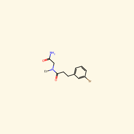 CCN(CC(N)=O)C(=O)C[CH]c1cccc(Br)c1